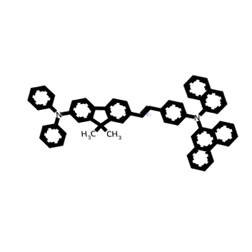 CC1(C)c2cc(/C=C/c3ccc(N(c4cccc5ccccc45)c4cc5ccccc5c5ccccc45)cc3)ccc2-c2ccc(N(c3ccccc3)c3ccccc3)cc21